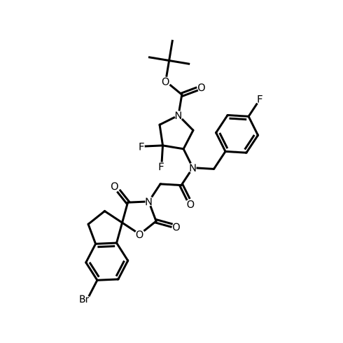 CC(C)(C)OC(=O)N1CC(N(Cc2ccc(F)cc2)C(=O)CN2C(=O)OC3(CCc4cc(Br)ccc43)C2=O)C(F)(F)C1